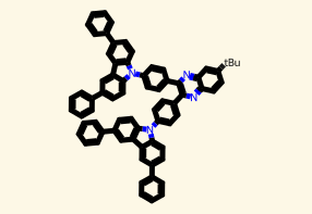 CC(C)(C)c1ccc2nc(-c3ccc(-n4c5ccc(-c6ccccc6)cc5c5cc(-c6ccccc6)ccc54)cc3)c(-c3ccc(-n4c5ccc(-c6ccccc6)cc5c5cc(-c6ccccc6)ccc54)cc3)nc2c1